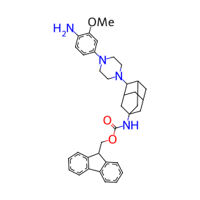 COc1cc(N2CCN(C3C4CC5CC3CC(NC(=O)OCC3c6ccccc6-c6ccccc63)(C5)C4)CC2)ccc1N